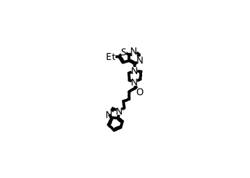 CCc1cc2c(N3CCN(C(=O)CCCCn4cnc5ccccc54)CC3)ncnc2s1